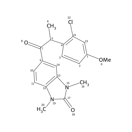 COc1ccc(C(C)C(=O)c2ccc3c(c2)n(C)c(=O)n3C)c(Cl)c1